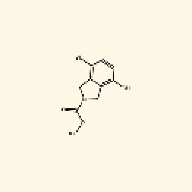 CC(C)(C)OC(=O)N1Cc2c(O)ccc(Cl)c2C1